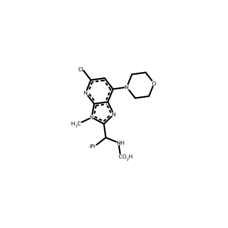 CC(C)C(NC(=O)O)c1nc2c(N3CCOCC3)cc(Cl)nc2n1C